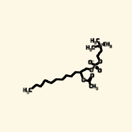 CCCCCCCCCCC(COP(=O)([O-])OCC[N+](C)(C)C)OC(C)=O